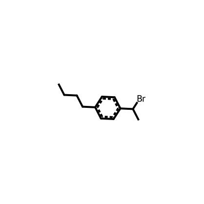 CCCCc1ccc(C(C)Br)cc1